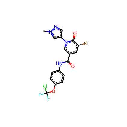 Cn1cc(-n2cc(C(=O)Nc3ccc(OC(F)(F)Cl)cc3)cc(Br)c2=O)cn1